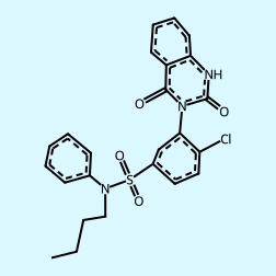 CCCCN(c1ccccc1)S(=O)(=O)c1ccc(Cl)c(-n2c(=O)[nH]c3ccccc3c2=O)c1